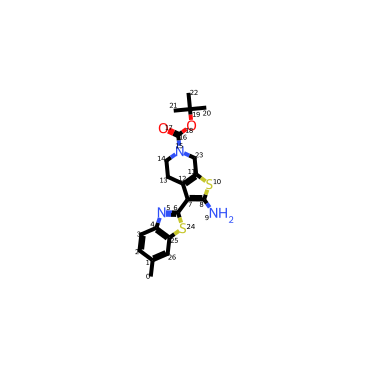 Cc1ccc2nc(-c3c(N)sc4c3CCN(C(=O)OC(C)(C)C)C4)sc2c1